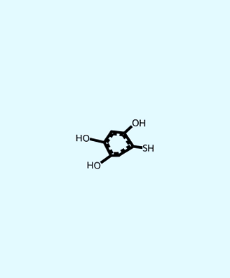 Oc1cc(O)c(S)cc1O